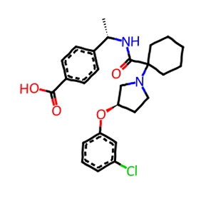 C[C@H](NC(=O)C1(N2CC[C@@H](Oc3cccc(Cl)c3)C2)CCCCC1)c1ccc(C(=O)O)cc1